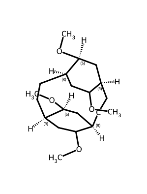 COC1C[C@H]2CC[C@@H]3CC(OC)[C@H](CC[C@@H]1C[C@@H]2OC)C[C@@H]3OC